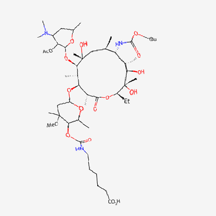 CC[C@H]1OC(=O)[C@H](C)[C@@H](OC2CC(C)(OC)C(OC(=O)NCCCCCC(=O)O)C(C)O2)[C@H](C)[C@@H](OC2OC(C)CC(N(C)C)C2OC(C)=O)[C@](C)(O)C[C@@H](C)[C@H](NC(=O)OC(C)(C)C)[C@H](C)[C@@H](O)[C@]1(C)O